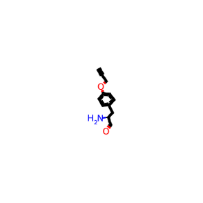 C#CCOc1ccc(C[C@H](N)C=O)cc1